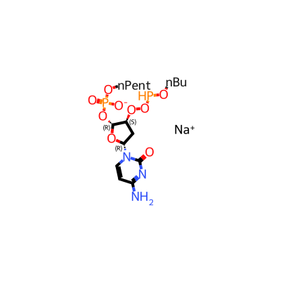 CCCCCOP(=O)([O-])O[C@H]1O[C@@H](n2ccc(N)nc2=O)C[C@@H]1OOPOCCCC.[Na+]